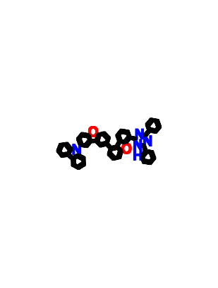 c1ccc(C2=NC(c3cccc4c3oc3cccc(-c5ccc6oc7ccc(-n8c9ccccc9c9ccccc98)cc7c6c5)c34)NC(c3ccccc3)=N2)cc1